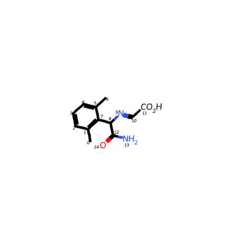 Cc1cccc(C)c1C(N=CC(=O)O)C(N)=O